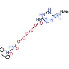 CNCCNC[C@@]1(N)CNCCN/C=C(/NC(=O)CCOCCOCCOCCOCCOCCC(=O)NCCC(=O)N2Cc3ccccc3C#Cc3ccccc32)CNCCNC1